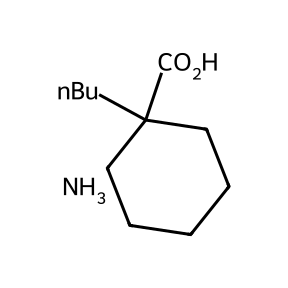 CCCCC1(C(=O)O)CCCCC1.N